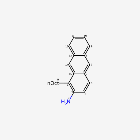 CCCCCCCCc1c(N)ccc2cc3ccccc3cc12